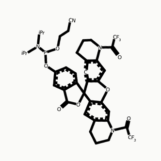 CC(C)N(C(C)C)P(OCCC#N)Oc1ccc2c(c1)C(=O)OC21c2cc3c(cc2Oc2cc4c(cc21)CCCN4C(=O)C(F)(F)F)N(C(=O)C(F)(F)F)CCC3